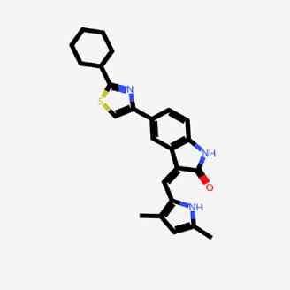 Cc1cc(C)c(/C=C2\C(=O)Nc3ccc(-c4csc(C5CCCCC5)n4)cc32)[nH]1